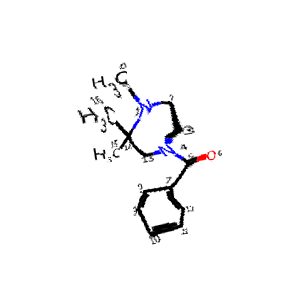 CN1CCN(C(=O)c2[c]cccc2)CC1(C)C